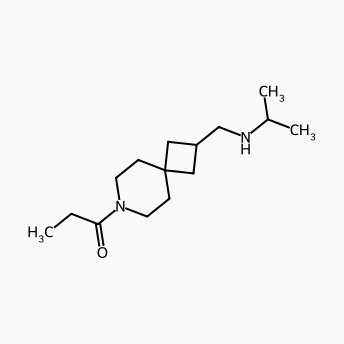 CCC(=O)N1CCC2(CC1)CC(CNC(C)C)C2